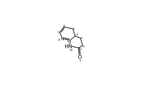 O=C1CCC2CC=CN=C2N1